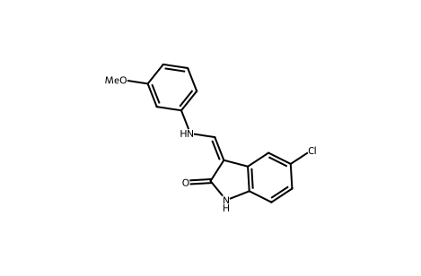 COc1cccc(NC=C2C(=O)Nc3ccc(Cl)cc32)c1